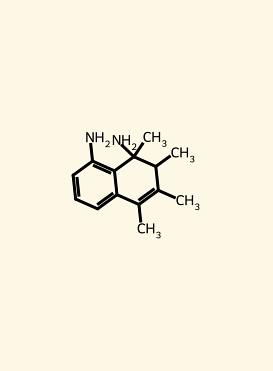 CC1=C(C)C(C)C(C)(N)c2c(N)cccc21